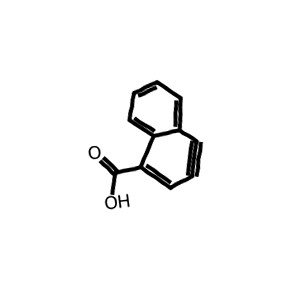 O=C(O)c1cc#cc2ccccc12